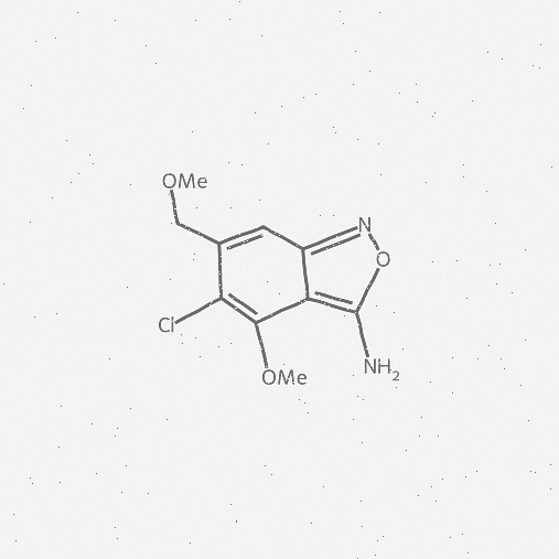 COCc1cc2noc(N)c2c(OC)c1Cl